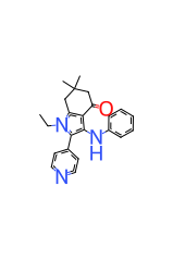 CCn1c2c(c(Nc3ccccc3)c1-c1ccncc1)C(=O)CC(C)(C)C2